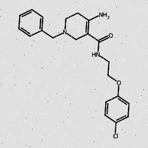 NC1=C(C(=O)NCCOc2ccc(Cl)cc2)CN(Cc2ccccc2)CC1